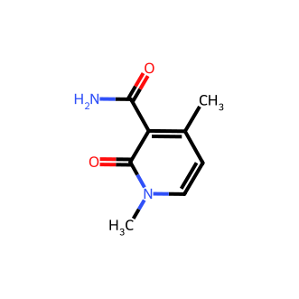 Cc1ccn(C)c(=O)c1C(N)=O